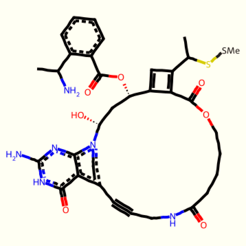 CSSC(C)C1=C2C(=O)OCCCCC(=O)NCC#Cc3cn(c4nc(N)[nH]c(=O)c34)[C@H](O)C[C@H](OC(=O)c3ccccc3C(C)N)C2=C1